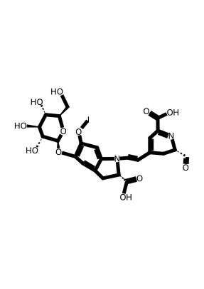 O=C[C@@H]1CC(/C=C/N2c3cc(OI)c(O[C@@H]4O[C@H](CO)[C@@H](O)[C@H](O)[C@H]4O)cc3C[C@H]2C(=O)O)=CC(C(=O)O)=N1